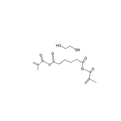 C=C(C)C(=O)OC(=O)CCCCC(=O)OC(=O)C(=C)C.OCCO